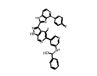 OC(Nc1cncc(-c2ncc3[nH]nc(-c4nc5c(-c6ccc(F)cc6)nccc5[nH]4)c3c2F)c1)c1ccccc1